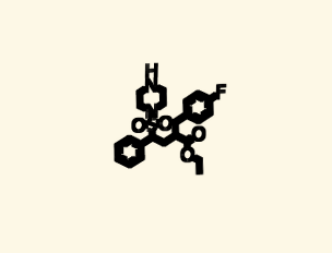 CCOC(=O)C(Cc1ccc(F)cc1)CC(c1ccccc1)S(=O)(=O)N1CCNCC1